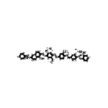 COc1cc(N=Nc2ccc(N=Nc3ccc(N=Nc4ccccc4S(=O)(=O)O)c(C)c3)c(C)c2)c(CO)cc1N=Nc1ccc2cc(NOc3ccccc3)ccc2c1O